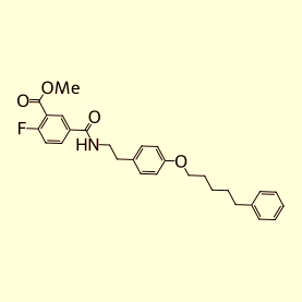 COC(=O)c1cc(C(=O)NCCc2ccc(OCCCCCc3ccccc3)cc2)ccc1F